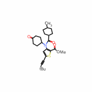 COC(=O)c1sc(C#CC(C)(C)C)cc1N(C(=O)C1CCC(C)CC1)C1CCC(=O)CC1